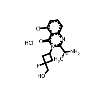 C[C@H](N)c1nc2cccc(Cl)c2c(=O)n1C1CC(F)(CO)C1.Cl